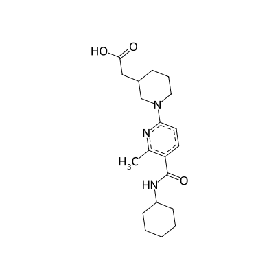 Cc1nc(N2CCCC(CC(=O)O)C2)ccc1C(=O)NC1CCCCC1